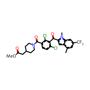 COC(=O)CC1CCN(C(=O)c2ccc(Cl)c(C(=O)c3cc4c(C)cc(C(F)(F)F)cc4n3C)c2Cl)CC1